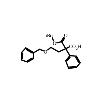 CCC(C)OC(=O)C(CCOCc1ccccc1)(C(=O)O)c1ccccc1